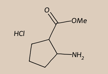 COC(=O)C1CCCC1N.Cl